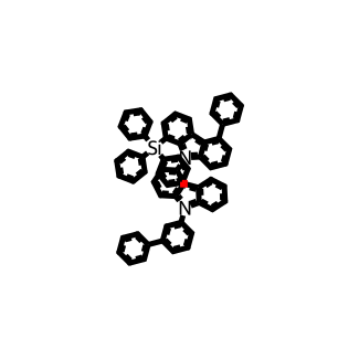 c1ccc(-c2cccc(-n3c4ccccc4c4c(-n5c6cccc(-c7ccccc7)c6c6cccc([Si](c7ccccc7)(c7ccccc7)c7ccccc7)c65)cccc43)c2)cc1